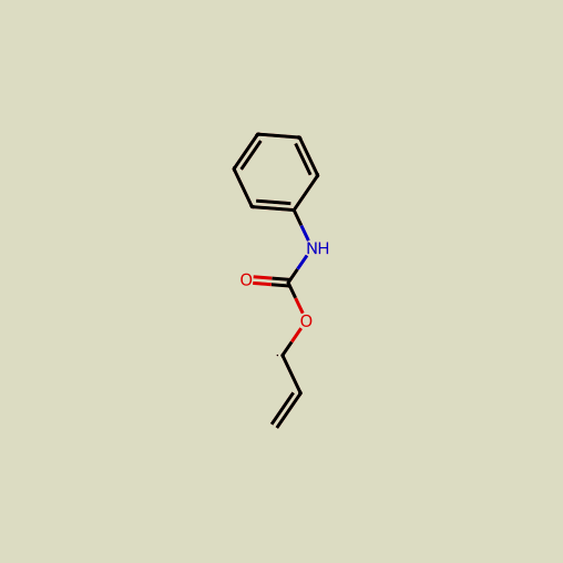 C=C[CH]OC(=O)Nc1ccccc1